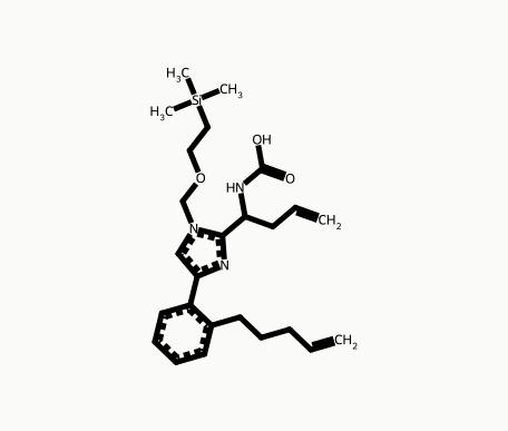 C=CCCCc1ccccc1-c1cn(COCC[Si](C)(C)C)c(C(CC=C)NC(=O)O)n1